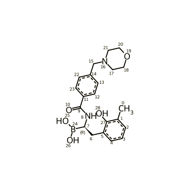 Cc1cccc(C[C@H](NC(=O)c2ccc(CN3CCOCC3)cc2)B(O)O)c1O